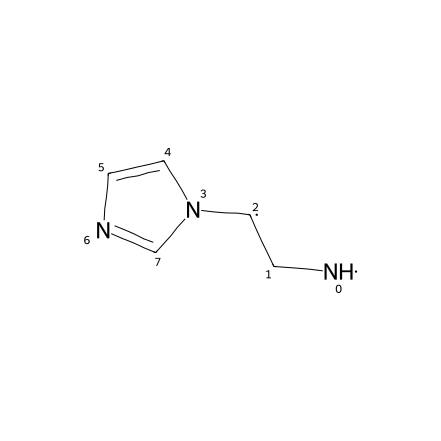 [NH]C[CH]n1ccnc1